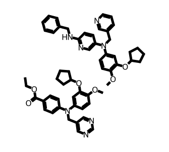 CCOC(=O)c1ccc(N(Cc2cncnc2)c2ccc(OC)c(OC3CCCC3)c2)cc1.COc1ccc(N(Cc2cccnc2)c2ccc(NCc3ccccc3)nc2)cc1OC1CCCC1